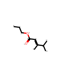 CCCOC(=O)/C=C(\C)C(C)C